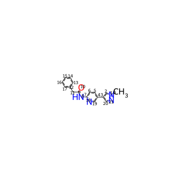 Cn1cc(-c2ccc(NC(=O)Cc3ccccc3)nc2)cn1